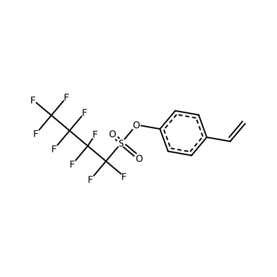 C=Cc1ccc(OS(=O)(=O)C(F)(F)C(F)(F)C(F)(F)C(F)(F)F)cc1